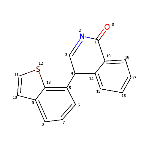 O=C1N=CC(c2cccc3ccsc23)c2ccccc21